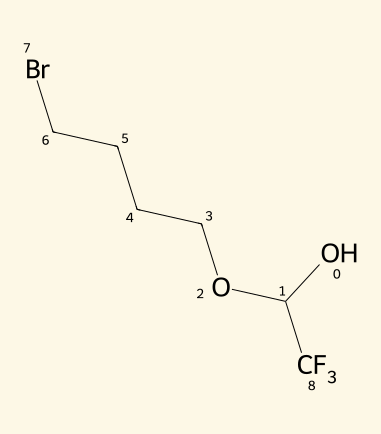 OC(OCCCCBr)C(F)(F)F